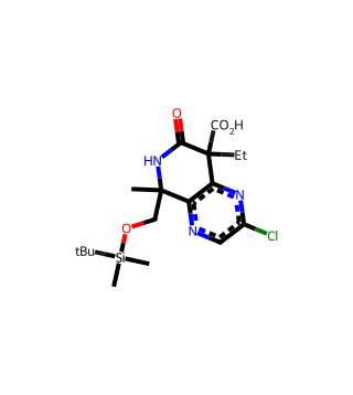 CCC1(C(=O)O)C(=O)NC(C)(CO[Si](C)(C)C(C)(C)C)c2ncc(Cl)nc21